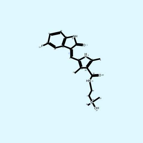 Cc1[nH]c(/C=C2\C(=O)Nc3ccc(F)cc32)c(C)c1C(=O)NCC[Si](C)(C)O